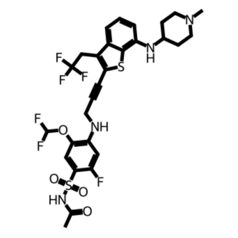 CC(=O)NS(=O)(=O)c1cc(OC(F)F)c(NCC#Cc2sc3c(NC4CCN(C)CC4)cccc3c2CC(F)(F)F)cc1F